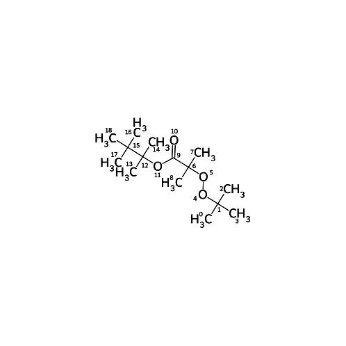 CC(C)(C)OOC(C)(C)C(=O)OC(C)(C)C(C)(C)C